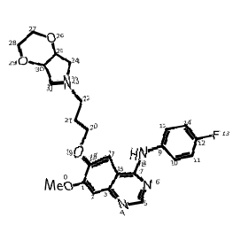 COc1cc2ncnc(Nc3ccc(F)cc3)c2cc1OCCCN1CC2OCCOC2C1